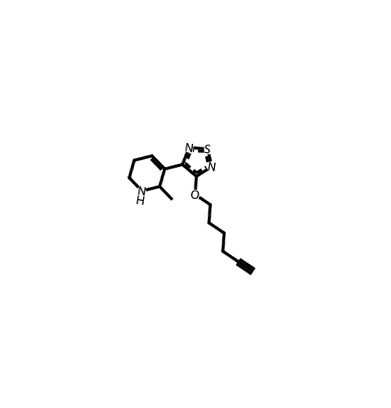 C#CCCCCOc1nsnc1C1=CCCNC1C